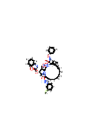 O=C1N[C@]2(C(=O)NOc3ccccc3)C[C@H]2/C=C\CCCCC[C@H](Nc2cccc(F)c2)C(=O)N2C[C@H](Oc3nc4ccccc4o3)C[C@@H]12